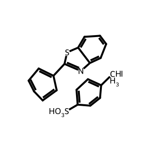 Cc1ccc(S(=O)(=O)O)cc1.I.c1ccc(-c2nc3ccccc3s2)cc1